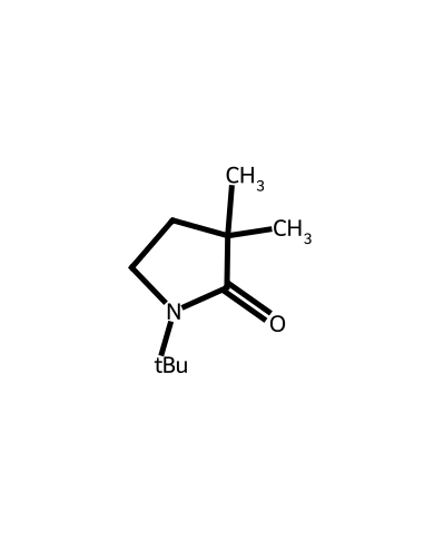 CC1(C)CCN(C(C)(C)C)C1=O